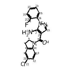 Nc1c(C(=O)N2CCc3cc(Cl)ccc32)cnn1-c1ccccc1F